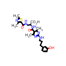 Cc1nc(C)c(C(=O)NC[C@H](NC(=O)c2c(C)nc(NCCCc3cccc(O)c3)nc2C)C(=O)O)s1